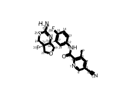 Cc1cc(C#N)cnc1C(=O)Nc1ccc(F)c([C@]23COC[C@@]2(F)CSC(N)=N3)c1